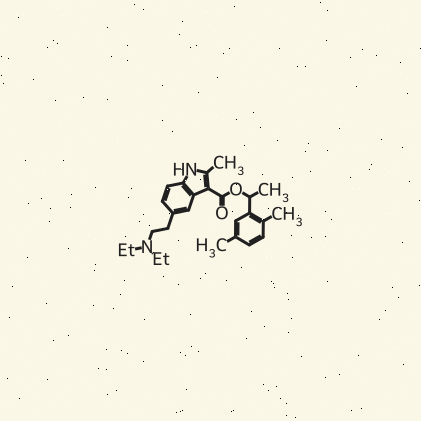 CCN(CC)CCc1ccc2[nH]c(C)c(C(=O)OC(C)c3cc(C)ccc3C)c2c1